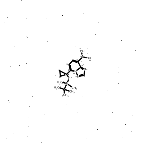 CC(C)(C)[Si](C)(C)OC1(c2ccc(B(O)O)c3ncnn23)CC1